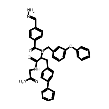 NN=Cc1ccc(C(=O)N(Cc2cccc(Oc3ccccc3)c2)C(Cc2ccc(-c3ccccc3)cc2)C(=O)NCC(N)=O)cc1